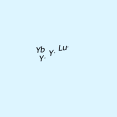 [Lu].[Y].[Y].[Yb]